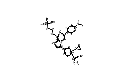 CN(C)c1ccc(-c2cn3c(-c4ccc(C(N)=O)c(C5CC5)c4)cnc3c(NCCC(F)(F)F)n2)cc1